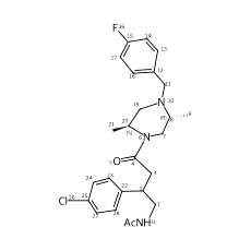 CC(=O)NCC(CC(=O)N1C[C@@H](C)N(Cc2ccc(F)cc2)C[C@@H]1C)c1ccc(Cl)cc1